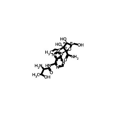 CCS[C@@]1(O)[C@H](O)[C@@H](CO)O[C@@]1(C(N)=O)n1cnc2c(NC(=O)C(N)C(C)O)ncnc21